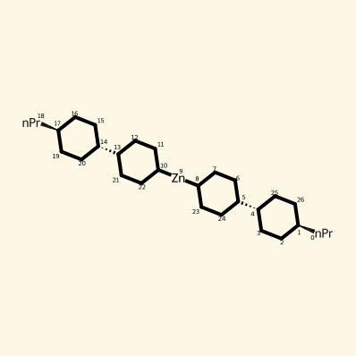 CCC[C@H]1CC[C@H](C2CC[CH]([Zn][CH]3CCC([C@H]4CC[C@H](CCC)CC4)CC3)CC2)CC1